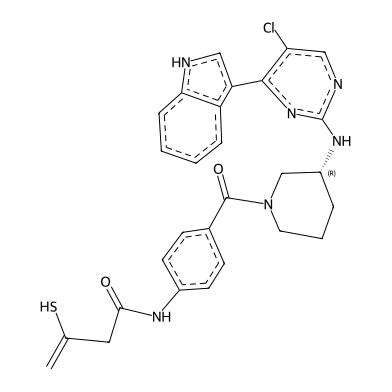 C=C(S)CC(=O)Nc1ccc(C(=O)N2CCC[C@@H](Nc3ncc(Cl)c(-c4c[nH]c5ccccc45)n3)C2)cc1